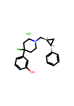 Cl.Oc1cccc(C2(F)CCN(C[C@H]3C[C@@H]3c3ccccc3)CC2)c1